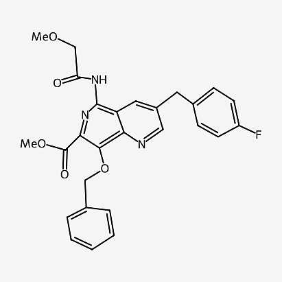 COCC(=O)Nc1nc(C(=O)OC)c(OCc2ccccc2)c2ncc(Cc3ccc(F)cc3)cc12